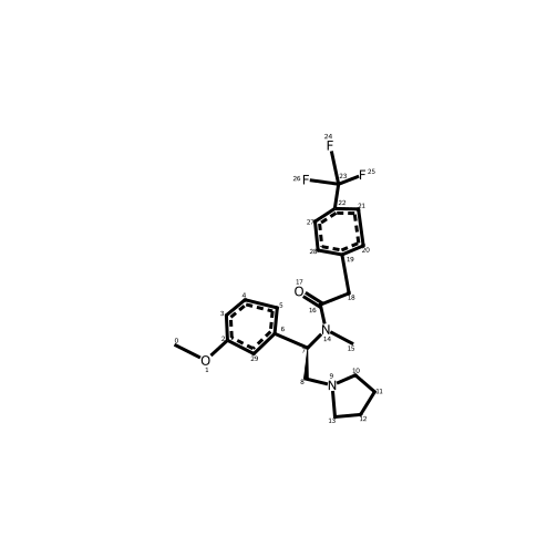 COc1cccc([C@H](CN2CCCC2)N(C)C(=O)Cc2ccc(C(F)(F)F)cc2)c1